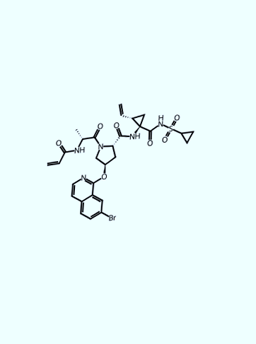 C=CC(=O)N[C@H](C)C(=O)N1C[C@H](Oc2nccc3ccc(Br)cc23)C[C@H]1C(=O)N[C@]1(C(=O)NS(=O)(=O)C2CC2)C[C@H]1C=C